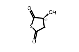 O=C1[CH][C@H](O)C(=O)S1